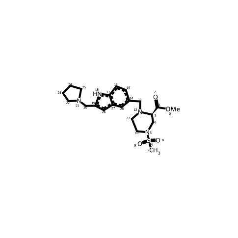 COC(=O)[C@H]1CN(S(C)(=O)=O)CCN1Cc1ccc2[nH]c(CN3CCCC3)cc2c1